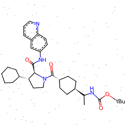 CC(NC(=O)OC(C)(C)C)[C@H]1CC[C@H](C(=O)N2CC[C@H](C3CCCCC3)[C@H]2C(=O)Nc2ccc3ncccc3c2)CC1